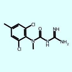 Cc1cc(Cl)c(N(C)C(=O)NC(=N)N)c(Cl)c1